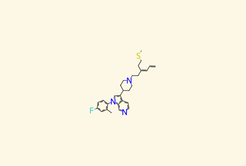 C=C/C=C(\CCSC)CCN1CCC(c2cn(-c3ccc(F)cc3C)c3cnccc23)CC1